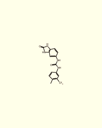 Cc1ccc(NC(=O)Nc2ccc3[nH]c(=O)[nH]c3c2)cc1C(F)(F)F